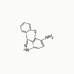 Nc1ccc2[nH]nc3c2c1Sc1ccccc1-3